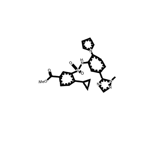 COC(=O)c1ccc(C2CC2)c(S(=O)(=O)Nc2cc(-c3ncnn3C)ccc2-n2cccc2)c1